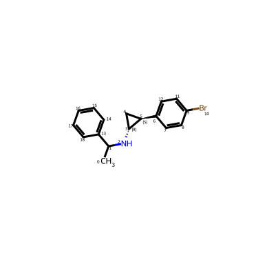 CC(N[C@@H]1C[C@H]1c1ccc(Br)cc1)c1ccccc1